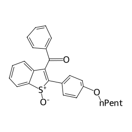 CCCCCOc1ccc(-c2c(C(=O)c3ccccc3)c3ccccc3[s+]2[O-])cc1